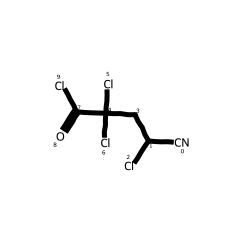 N#CC(Cl)CC(Cl)(Cl)C(=O)Cl